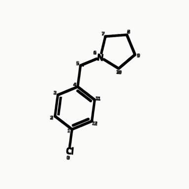 Clc1ccc([CH]N2CCCC2)cc1